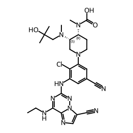 CCNc1nc(Nc2cc(C#N)cc(N3CC[C@@H](N(C)C(=O)O)[C@@H](N(C)CC(C)(C)O)C3)c2Cl)nn2c(C#N)cnc12